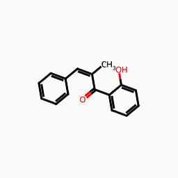 CC(=Cc1ccccc1)C(=O)c1ccccc1O